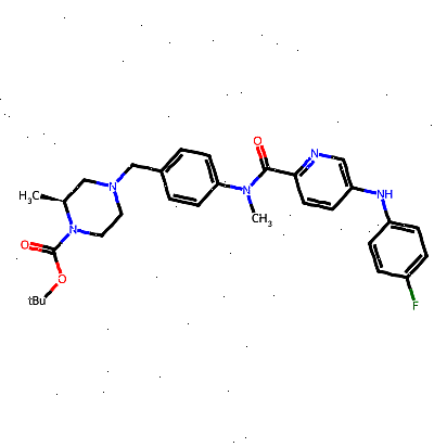 C[C@H]1CN(Cc2ccc(N(C)C(=O)c3ccc(Nc4ccc(F)cc4)cn3)cc2)CCN1C(=O)OC(C)(C)C